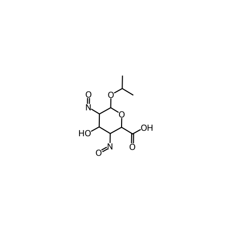 CC(C)OC1OC(C(=O)O)C(N=O)C(O)C1N=O